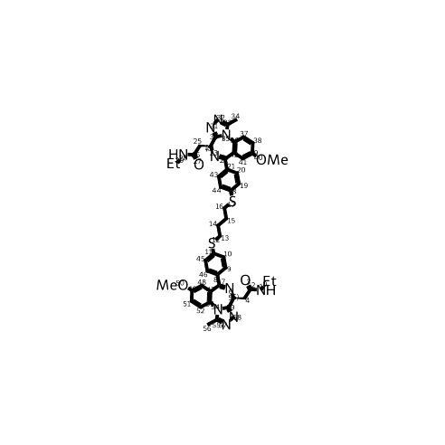 CCNC(=O)C[C@@H]1N=C(c2ccc(SCCCCSc3ccc(C4=N[C@@H](CC(=O)NCC)c5nnc(C)n5-c5ccc(OC)cc54)cc3)cc2)c2cc(OC)ccc2-n2c(C)nnc21